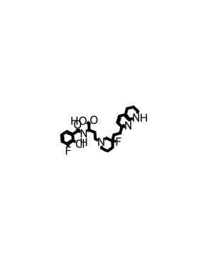 O=C(NC(CCN1CCCC(F)(CCc2ccc3c(n2)NCCC3)C1)C(=O)O)c1cccc(F)c1Cl